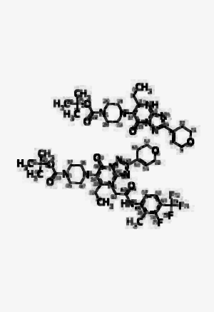 CCc1[nH]c2nc(C3=CCOCC3)nn2c(=O)c1N1CCN(C(=O)OC(C)(C)C)CC1.CCc1c(N2CCN(C(=O)OC(C)(C)C)CC2)c(=O)n2nc(C3=CCOCC3)nc2n1CC(=O)Nc1ccc(C(F)(F)F)c(F)c1C